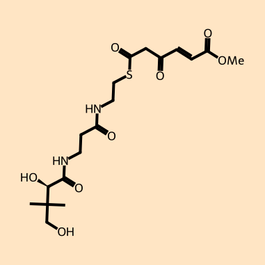 COC(=O)/C=C/C(=O)CC(=O)SCCNC(=O)CCNC(=O)[C@H](O)C(C)(C)CO